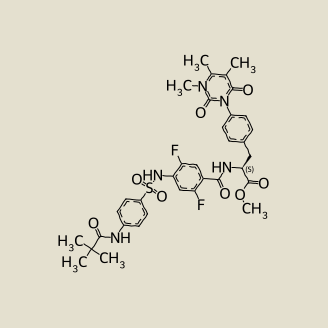 COC(=O)[C@H](Cc1ccc(-n2c(=O)c(C)c(C)n(C)c2=O)cc1)NC(=O)c1cc(F)c(NS(=O)(=O)c2ccc(NC(=O)C(C)(C)C)cc2)cc1F